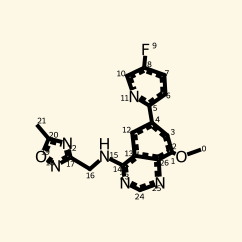 COc1cc(-c2ccc(F)cn2)cc2c(NCc3noc(C)n3)ncnc12